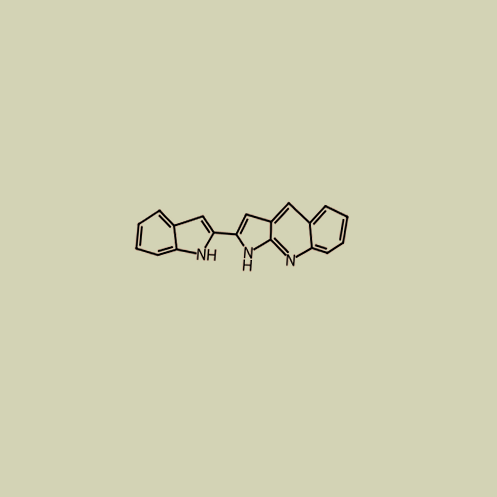 c1ccc2nc3[nH]c(-c4cc5ccccc5[nH]4)cc3cc2c1